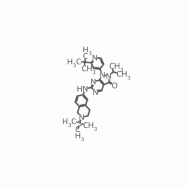 CC(C)n1c(=O)c2cnc(Nc3ccc4c(c3)CCN(S(C)(C)C)C4)nc2n1-c1ccnc(C(C)(C)C)c1